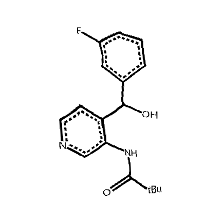 CC(C)(C)C(=O)Nc1cnccc1C(O)c1cccc(F)c1